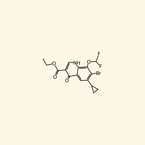 CCOC(=O)c1c[nH]c2c(OC(F)F)c(Br)c(C3CC3)cc2c1=O